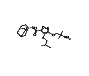 CC(C)CSc1c(OCC(C)(C)N)noc1C(=O)NC1C2CC3CC(C2)CC1C3